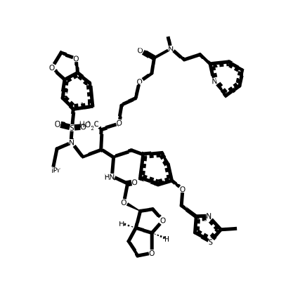 Cc1nc(COc2ccc(CC(NC(=O)O[C@H]3CO[C@H]4OCC[C@H]43)C(CN(CC(C)C)S(=O)(=O)c3ccc4c(c3)OCO4)[C@H](OCCOCC(=O)N(C)CCc3ccccn3)C(=O)O)cc2)cs1